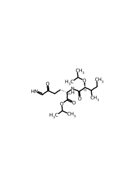 CCC(C)[C@H](OC(C)C)C(=O)N[C@@H](CCC(=O)C=N)C(=O)OC(C)C